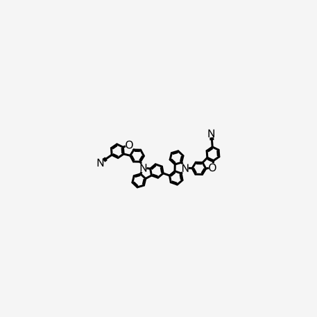 N#Cc1ccc2oc3ccc(-n4c5ccccc5c5cc(-c6cccc7c6c6ccccc6n7-c6ccc7oc8ccc(C#N)cc8c7c6)ccc54)cc3c2c1